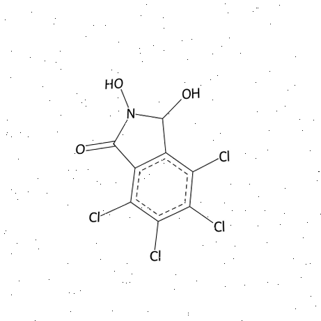 O=C1c2c(Cl)c(Cl)c(Cl)c(Cl)c2C(O)N1O